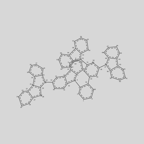 c1ccc(-n2c3ccccc3c3cc(-n4c5ccccc5n5c6ccccc6nc45)ccc32)c(-c2cc(-n3c4ccccc4c4ccccc43)nc(-n3c4ccccc4c4ccccc43)c2)c1